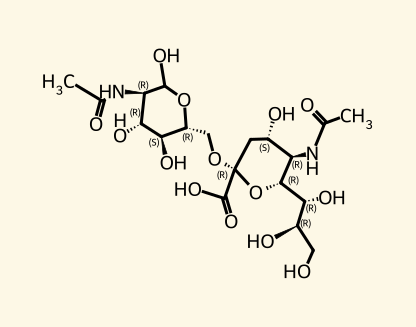 CC(=O)N[C@H]1[C@H]([C@H](O)[C@H](O)CO)O[C@@](OC[C@H]2OC(O)[C@H](NC(C)=O)[C@@H](O)[C@@H]2O)(C(=O)O)C[C@@H]1O